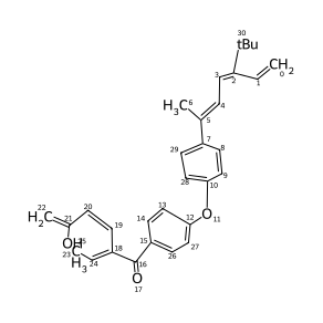 C=C/C(=C\C=C(/C)c1ccc(Oc2ccc(C(=O)C(/C=C\C(=C)O)=C/C)cc2)cc1)C(C)(C)C